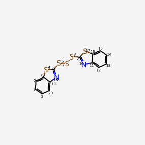 c1ccc2sc(SSSc3nc4ccccc4s3)nc2c1